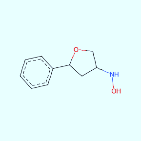 ONC1COC(c2ccccc2)C1